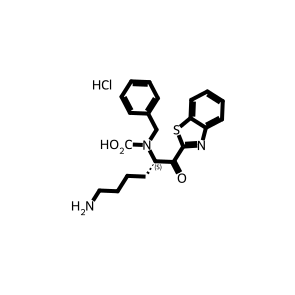 Cl.NCCCC[C@@H](C(=O)c1nc2ccccc2s1)N(Cc1ccccc1)C(=O)O